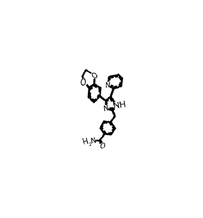 NC(=O)c1ccc(Cc2nc(-c3ccc4c(c3)OCCO4)c(-c3ccccn3)[nH]2)cc1